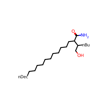 CCCCCCCCCCCCCCCCCCCCCC(C(N)=O)C(CO)CCCC